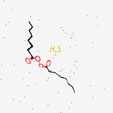 CCCCCCCC(=O)OOC(=O)CCCCCCC.S